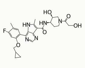 Cc1cc(-c2ncnc3c(C(=O)N[C@@H]4CCN(C(=O)CO)C[C@@H]4O)c(C)[nH]c23)c(OCC2CC2)cc1F